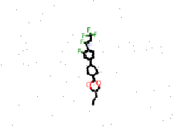 CCCC1COC(C2CCC(c3ccc(/C(F)=C/C(F)(F)F)c(F)c3)CC2)OC1